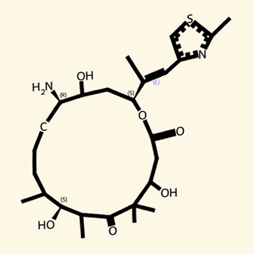 C/C(=C\c1csc(C)n1)[C@@H]1CC(O)[C@H](N)CCCC(C)[C@H](O)C(C)C(=O)C(C)(C)C(O)CC(=O)O1